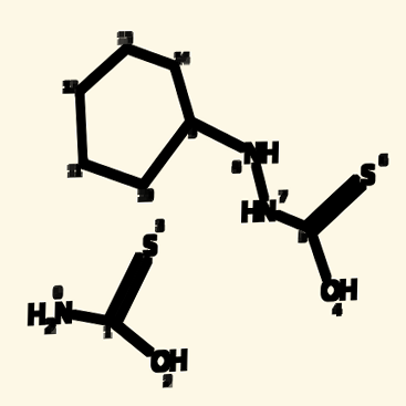 NC(O)=S.OC(=S)NNC1CCCCC1